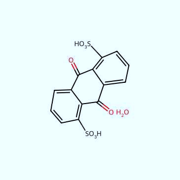 O.O=C1c2cccc(S(=O)(=O)O)c2C(=O)c2cccc(S(=O)(=O)O)c21